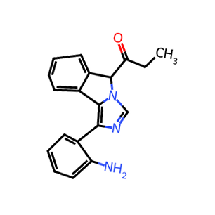 CCC(=O)C1c2ccccc2-c2c(-c3ccccc3N)ncn21